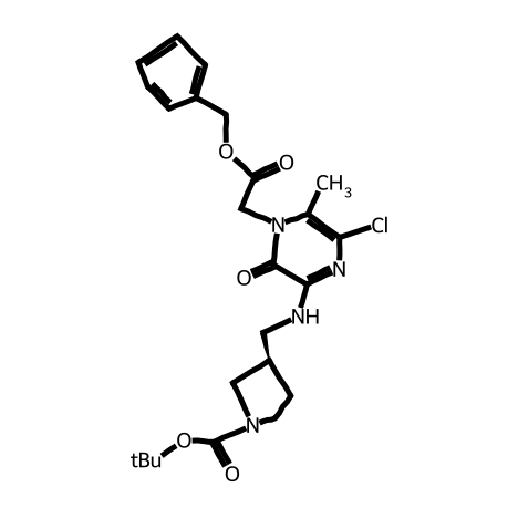 Cc1c(Cl)nc(NC[C@H]2CCN(C(=O)OC(C)(C)C)C2)c(=O)n1CC(=O)OCc1ccccc1